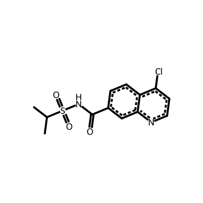 CC(C)S(=O)(=O)NC(=O)c1ccc2c(Cl)ccnc2c1